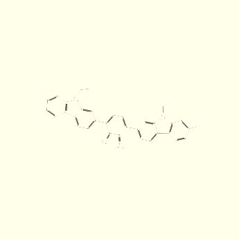 CCn1c2cc(C)ccc2c2ccc(-c3ccc(-c4ccc5c6ccc(C)cc6n(CC)c5c4)c4nsnc34)cc21